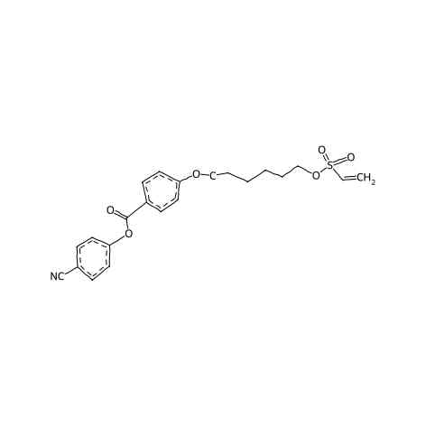 C=CS(=O)(=O)OCCCCCCOc1ccc(C(=O)Oc2ccc(C#N)cc2)cc1